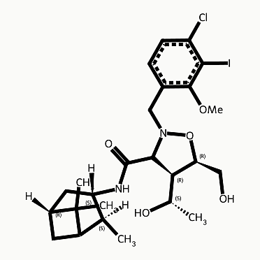 COc1c(CN2O[C@@H](CO)[C@@H]([C@H](C)O)C2C(=O)N[C@H]2C[C@H]3CC([C@@H]2C)C3(C)C)ccc(Cl)c1I